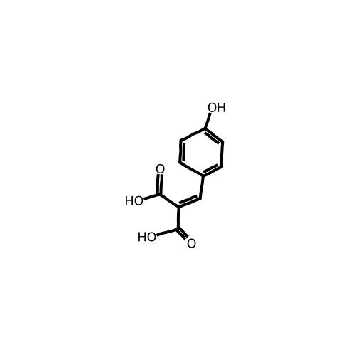 O=C(O)C(=Cc1ccc(O)cc1)C(=O)O